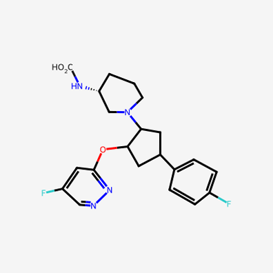 O=C(O)N[C@@H]1CCCN(C2CC(c3ccc(F)cc3)CC2Oc2cc(F)cnn2)C1